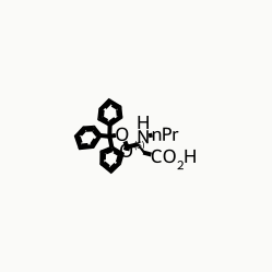 CCCN[C@@H](CC(=O)O)C(=O)OC(c1ccccc1)(c1ccccc1)c1ccccc1